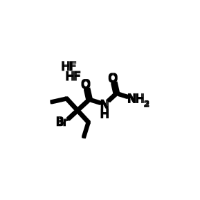 CCC(Br)(CC)C(=O)NC(N)=O.F.F